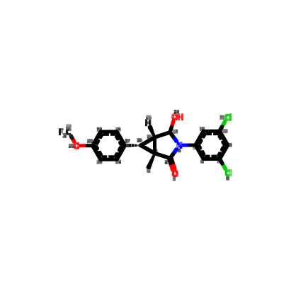 C[C@]12C(=O)N(c3cc(Cl)cc(Cl)c3)C(O)[C@H]1[C@H]2c1ccc(OC(F)(F)F)cc1